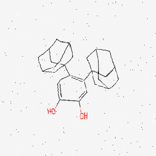 Oc1cc(C23CC4CC(CC(C4)C2)C3)c(C23CC4CC(CC(C4)C2)C3)cc1O